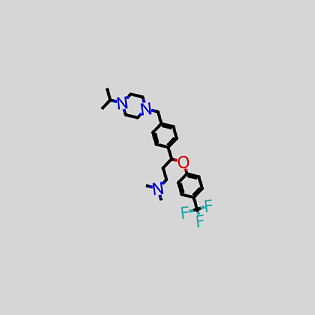 CC(C)N1CCN(Cc2ccc(C(CCN(C)C)Oc3ccc(C(F)(F)F)cc3)cc2)CC1